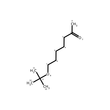 CC(=O)CCCCCOC(C)(C)C